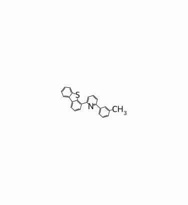 Cc1cccc(-c2cccc(-c3cccc4c3sc3ccccc34)n2)c1